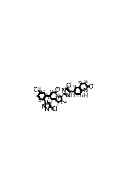 C[C@H]1Cc2cc(-c3cc(Cl)ccc3-n3cc(Cl)nn3)cc(=O)n2[C@@H]1c1nc(Cl)c(-c2ccc3c(c2)CCC(=O)N3)[nH]1